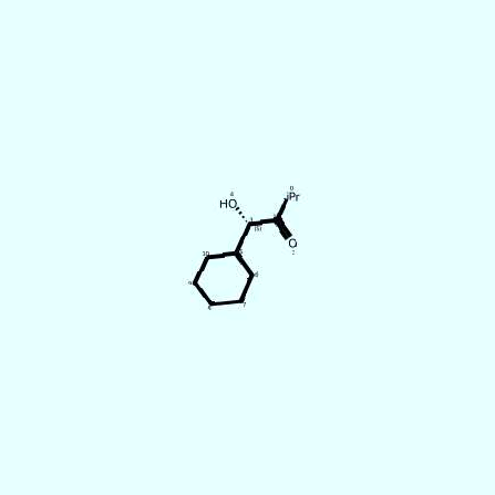 CC(C)C(=O)[C@@H](O)C1CCCCC1